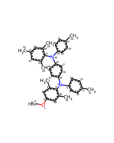 CCCCOc1cc(C)c(N(c2ccc(C)cc2)c2ccc(N(c3ccc(C)cc3)c3c(C)cc(C)cc3C)cc2)c(C)c1